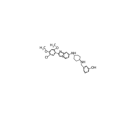 COc1cc(OC)c(-c2cn3ccc(N[C@H]4CC[C@H](NCc5cccc(O)c5)CC4)cc3n2)cc1Cl